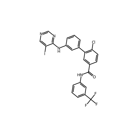 O=C(Nc1cccc(C(F)(F)F)c1)c1ccc(Cl)c(-c2cccc(Nc3ncncc3I)c2)c1